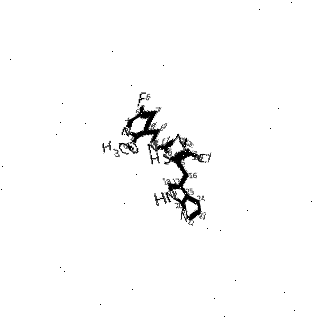 COc1ncc(F)cc1CNc1nc(Cl)c(Cc2c[nH]c3ncccc23)s1